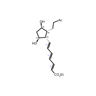 CCOC(=O)/C=C/C=C/C=C/[C@H]1[C@@H](CCC(C)=O)[C@H](O)C[C@@H]1O